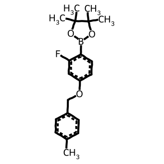 Cc1ccc(COc2ccc(B3OC(C)(C)C(C)(C)O3)c(F)c2)cc1